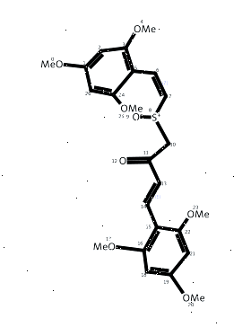 COc1cc(OC)c(/C=C\[S+]([O-])CC(=O)/C=C/c2c(OC)cc(OC)cc2OC)c(OC)c1